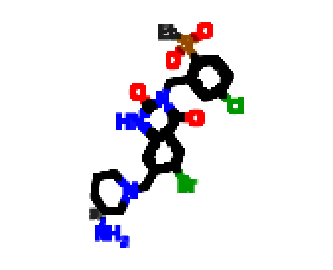 CCS(=O)(=O)c1ccc(Cl)cc1Cn1c(=O)[nH]c2cc(CN3CCC[C@@H](N)C3)c(Br)cc2c1=O